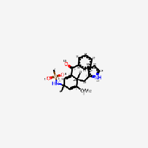 COC1=CC(C)(NS(C)(=O)=O)C=C(C(=O)c2ccccc2)C1(C)Cc1ccc[nH]1